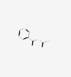 [CH2]CCCC(=O)OC(=O)c1cccnc1